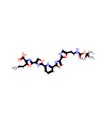 CCCc1oc(-c2coc(-c3cccc(-c4nc(-c5ncc(CCNC(=O)OC(C)(C)C)o5)co4)n3)n2)nc1C(=O)O